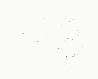 CCOC(Cn1c(=O)cnc2ccc(C)cc21)OCC